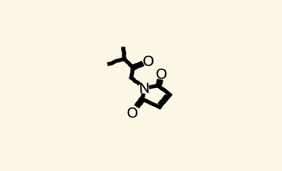 CC(C)C(=O)CN1C(=O)C=CC1=O